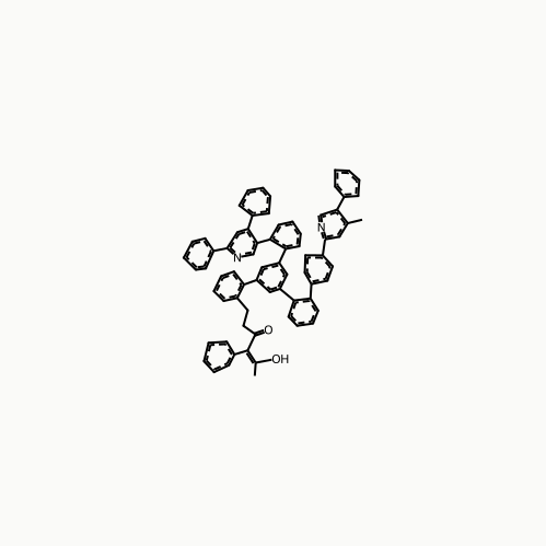 C/C(O)=C(/C(=O)CCc1ccccc1-c1cc(-c2ccccc2-c2ccc(-c3cc(C)c(-c4ccccc4)cn3)cc2)cc(-c2ccccc2-c2cnc(-c3ccccc3)cc2-c2ccccc2)c1)c1ccccc1